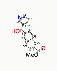 COC(=O)c1ccc2cc(C(O)c3cccnc3)ccc2c1